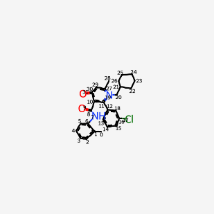 Cc1ccccc1NC(=O)c1c(-c2cccc(Cl)c2)n(CC2CCCCC2)c(C)cc1=O